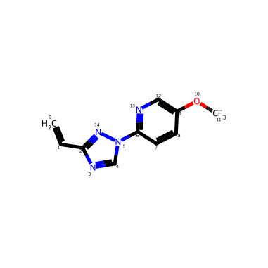 C=Cc1ncn(-c2ccc(OC(F)(F)F)cn2)n1